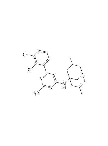 CC1CC2CC(C)CC(Nc3cc(-c4cccc(Cl)c4Cl)nc(N)n3)(C1)C2